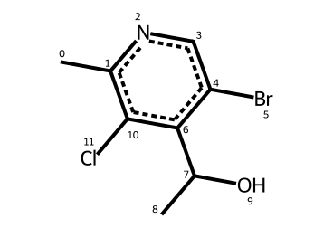 Cc1ncc(Br)c(C(C)O)c1Cl